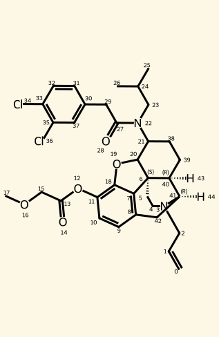 C=CCN1CC[C@]23c4c5ccc(OC(=O)COC)c4OC2C(N(CC(C)C)C(=O)Cc2ccc(Cl)c(Cl)c2)CC[C@H]3[C@H]1C5